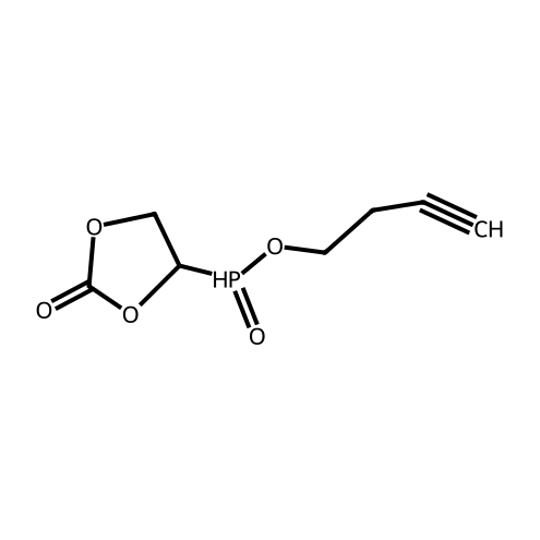 C#CCCO[PH](=O)C1COC(=O)O1